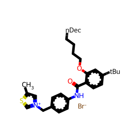 CCCCCCCCCCCCCCOc1cc(C(C)(C)C)ccc1C(=O)Nc1ccc(C[n+]2csc(C)c2)cc1.[Br-]